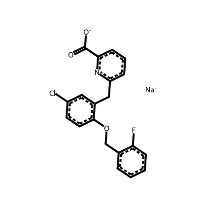 O=C([O-])c1cccc(Cc2cc(Cl)ccc2OCc2ccccc2F)n1.[Na+]